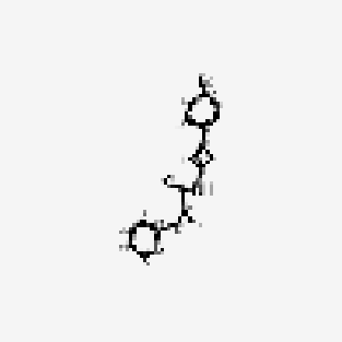 O=C(NC12CC(c3ccc(Br)cc3)(C1)C2)C1CC1c1ccccn1